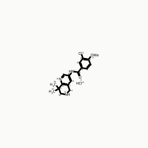 COc1ccc(C(=O)Nc2cnc3c(c2)CNCC3(C)C)cc1Cl.Cl